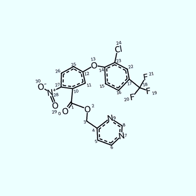 O=C(OCc1ccncn1)c1cc(Oc2ccc(C(F)(F)F)cc2Cl)ccc1[N+](=O)[O-]